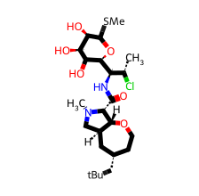 CSC1O[C@H]([C@H](NC(=O)[C@@H]2[C@@H]3OCC[C@H](CC(C)(C)C)C[C@H]3CN2C)[C@H](C)Cl)C(O)[C@@H](O)[C@H]1O